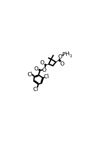 CC1(C)[C@@H](C(=O)OP)C[C@H]1C(=O)OC(=O)c1c(Cl)cc(Cl)cc1Cl